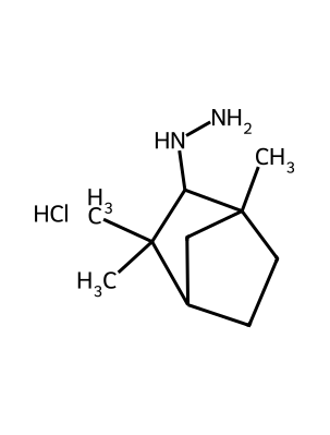 CC12CCC(C1)C(C)(C)C2NN.Cl